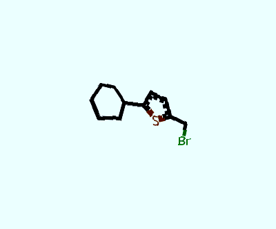 BrCc1ccc(C2CCCCC2)s1